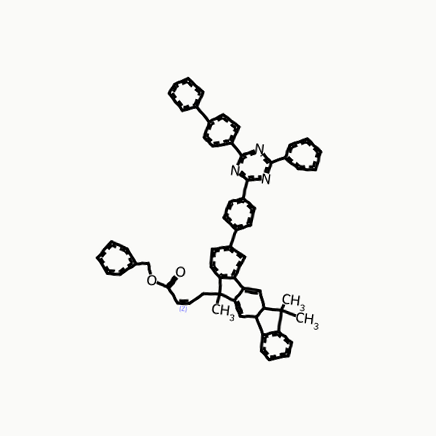 CC1(C/C=C\C(=O)OCc2ccccc2)C2=CC3c4ccccc4C(C)(C)C3C=C2c2cc(-c3ccc(-c4nc(-c5ccccc5)nc(-c5ccc(-c6ccccc6)cc5)n4)cc3)ccc21